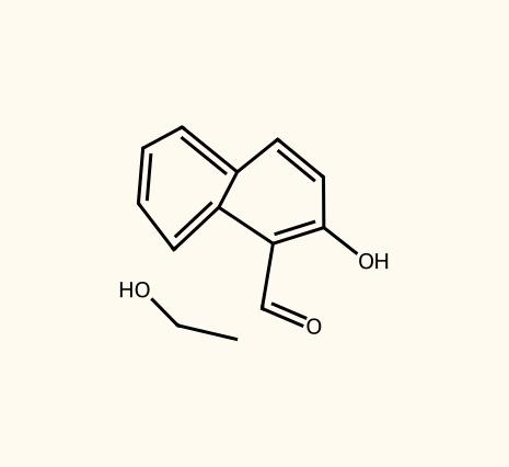 CCO.O=Cc1c(O)ccc2ccccc12